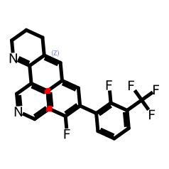 Fc1ccc(/C=C2/CCCN=C2c2cccnc2)cc1-c1cccc(C(F)(F)F)c1F